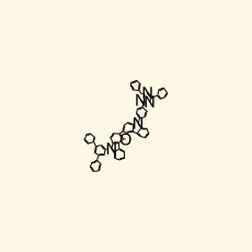 c1ccc(-c2cc(-c3ccccc3)cc(-n3c4ccccc4c4c5oc6c(ccc7c6c6ccccc6n7-c6ccc(-c7nc(-c8ccccc8)nc(-c8ccccc8)n7)cc6)c5ccc43)c2)cc1